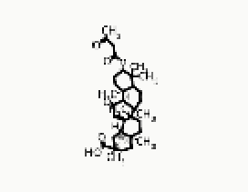 CC(=O)CC(=O)O[C@H]1CC[C@@]2(C)C(CC[C@]3(C)C2C(=O)C=C2[C@@H]4C[C@@](C)(C(=O)O)CC[C@]4(C)CCC23C)C1(C)C